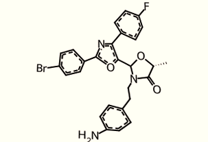 C[C@H]1OC(c2oc(-c3ccc(Br)cc3)nc2-c2ccc(F)cc2)N(CCc2ccc(N)cc2)C1=O